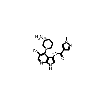 Cn1cc(C(=O)Nc2c[nH]c3ncc(Br)c(N4CCC[C@@H](N)C4)c23)cn1